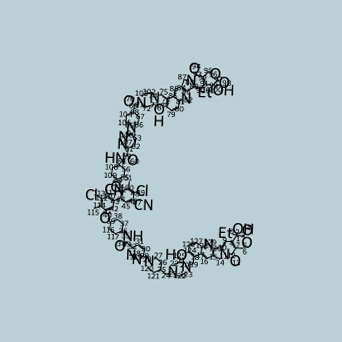 CC[C@@]1(O)C(=O)OCc2c1cc1n(c2=O)Cc2cc3c(CN4CCN(CC5CCN(c6ccc(C(=O)N[C@H]7CC[C@H](Oc8cc(-c9cc(C#N)c(Cl)c(C)c9O[C@H]9CC[C@H](NC(=O)c%10ccc(N%11CCC(C(=O)N%12CCN(Cc%13c(O)ccc%14nc%15c(cc%13%14)Cn%13c-%15cc%14c(c%13=O)COC(=O)[C@]%14(O)CC)CC%12)CC%11)nn%10)CC9)c(C#N)c(Cl)c8C)CC7)nn6)CC5)CC4)c(O)ccc3nc2-1